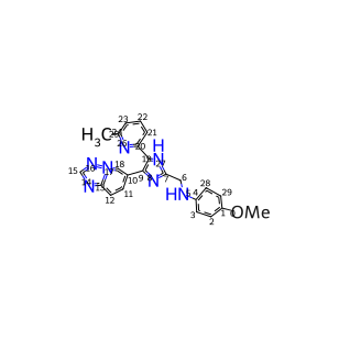 COc1ccc(NCc2nc(-c3ccc4ncnn4c3)c(-c3cccc(C)n3)[nH]2)cc1